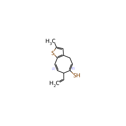 C=CC1/C=C\c2sc(C)cc2C/C=C\1S